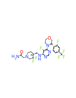 NC(=O)CN1CC[C@@H](CNc2ncnc(N3CCOC[C@@H]3c3ccc(C(F)(F)F)cc3F)c2F)C(F)(F)C1